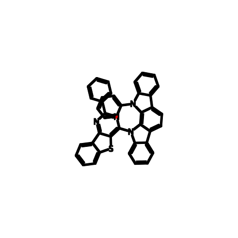 c1ccc(-c2nc(-n3c4ccccc4c4ccc5c6ccccc6n(-c6ccccc6)c5c43)c3sc4ccccc4c3n2)cc1